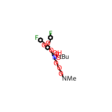 CNCCOCCOCCOCCN(C[C@@H](O)COc1ccc(OCc2ccc(F)cc2)c(OCc2ccc(F)cc2)c1)C(=O)OC(C)(C)C